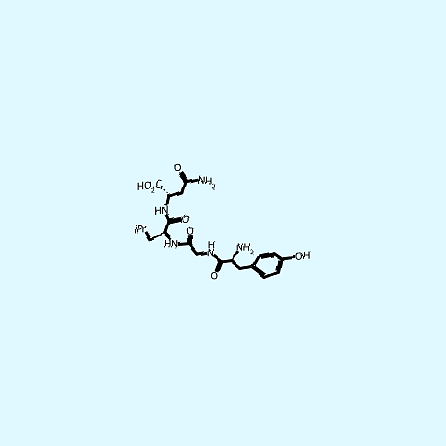 CC(C)C[C@H](NC(=O)CNC(=O)[C@@H](N)Cc1ccc(O)cc1)C(=O)N[C@@H](CC(N)=O)C(=O)O